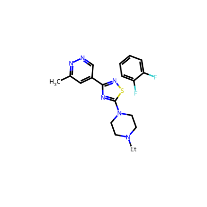 CCN1CCN(c2nc(-c3cnnc(C)c3)ns2)CC1.Fc1ccccc1F